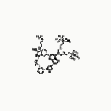 COCCOC1(C(=O)O)CCC(c2cc(N(COCC[Si](C)(C)C)COCC[Si](C)(C)C)n3ncc(-c4cnn(-c5ccccc5)c4)c3n2)CC1CCOC